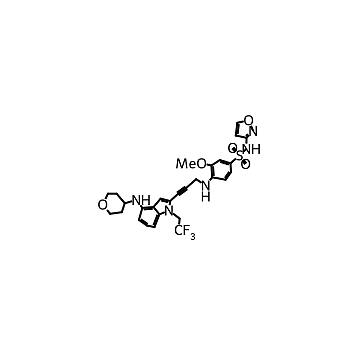 COc1cc(S(=O)(=O)Nc2ccon2)ccc1NCC#Cc1cc2c(NC3CCOCC3)cccc2n1CC(F)(F)F